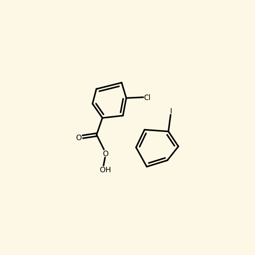 Ic1ccccc1.O=C(OO)c1cccc(Cl)c1